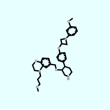 COCCCN1CCOc2ccc(COC3CNCCC3c3ccc(OC4CN(c5cccc(OC)c5)C4)cc3)cc21